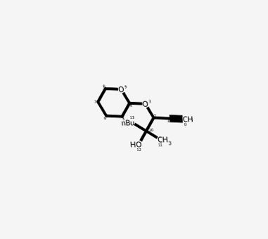 C#CC(OC1CCCCO1)C(C)(O)CCCC